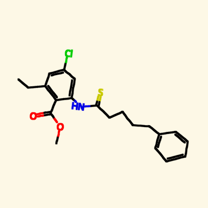 CCc1cc(Cl)cc(NC(=S)CCCCc2ccccc2)c1C(=O)OC